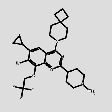 CN1CCC(c2nc(N3CCC4(CCC4)CC3)c3cc(C4CC4)c(Br)c(OCC(F)(F)F)c3n2)CC1